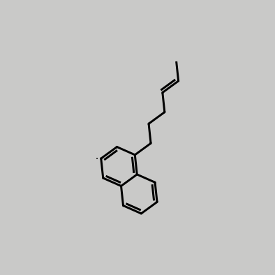 C/C=C/CCCc1c[c]cc2ccccc12